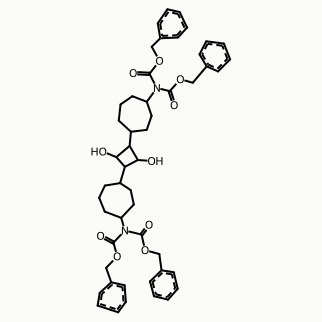 O=C(OCc1ccccc1)N(C(=O)OCc1ccccc1)C1CCCC(C2C(O)C(C3CCCC(N(C(=O)OCc4ccccc4)C(=O)OCc4ccccc4)CC3)C2O)CC1